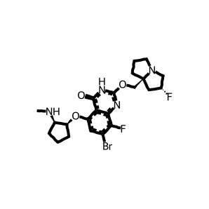 CN[C@@H]1CCC[C@@H]1Oc1cc(Br)c(F)c2nc(OC[C@@]34CCCN3C[C@H](F)C4)[nH]c(=O)c12